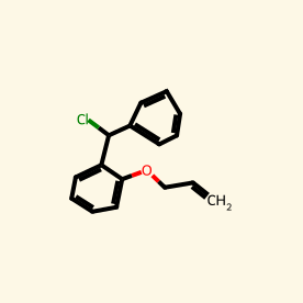 C=CCOc1ccccc1C(Cl)c1ccccc1